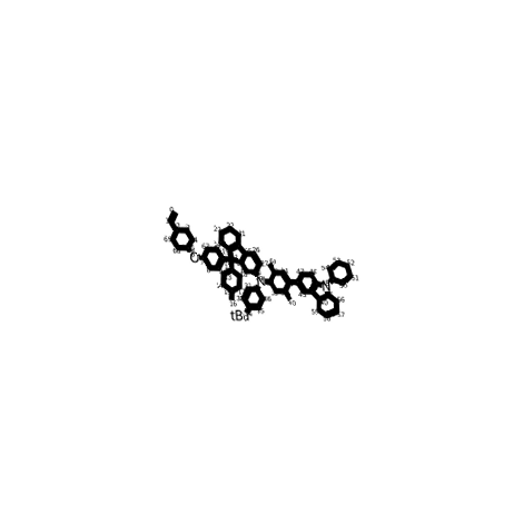 C=CC1CCC(OC2=CC=C(C3(C4CCC(C)CC4)C4=C(CCCC4)C4C=CC(N(C5C=CC(C(C)(C)C)=CC5)C5CC(C)C(C6=CC7=C(CC6)N(C6CCCCC6)C6CC=CCC76)=CC5C)CC43)CC2)CC1